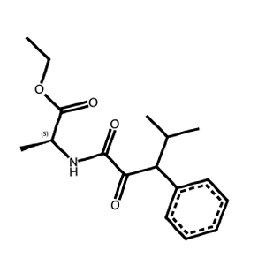 CCOC(=O)[C@H](C)NC(=O)C(=O)C(c1ccccc1)C(C)C